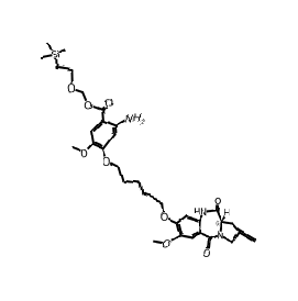 C=C1C[C@H]2C(=O)Nc3cc(OCCCCCOc4cc(N)c(C(=O)OCOCC[Si](C)(C)C)cc4OC)c(OC)cc3C(=O)N2C1